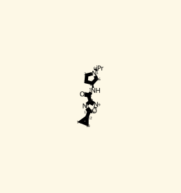 CC(C)N1CC[C@H](NC(=O)c2noc(C3CC3)n2)C1